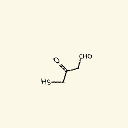 O=CCC(=O)[CH]S